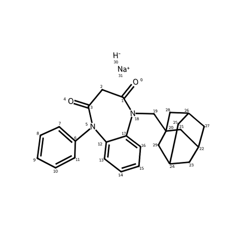 O=C1CC(=O)N(c2ccccc2)c2ccccc2N1CC12CC3CC(CC(C3)C1)C2.[H-].[Na+]